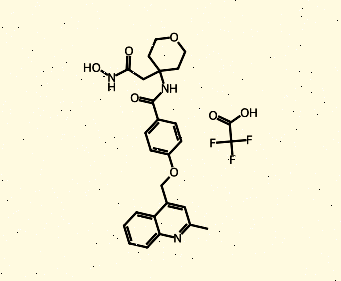 Cc1cc(COc2ccc(C(=O)NC3(CC(=O)NO)CCOCC3)cc2)c2ccccc2n1.O=C(O)C(F)(F)F